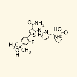 CC(C)(O)c1ccc(-c2cc(C(N)=O)c(Nc3cccc(CN4CCC[C@H]4C(=O)O)n3)s2)c(F)c1